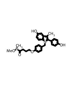 CON(C)C(=O)CCCOc1ccc(Cn2c(-c3ccc(O)cc3)c(C)c3cc(O)ccc32)cc1